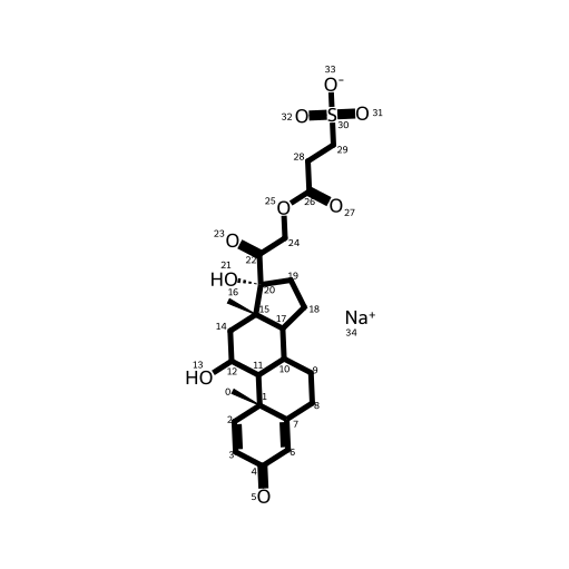 C[C@]12C=CC(=O)C=C1CCC1C2C(O)C[C@@]2(C)C1CC[C@]2(O)C(=O)COC(=O)CCS(=O)(=O)[O-].[Na+]